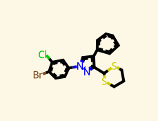 Clc1cc(-n2cc(-c3ccccc3)c(C3SCCCS3)n2)ccc1Br